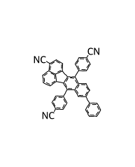 N#Cc1ccc(-c2c3c(c(-c4ccc(C#N)cc4)c4cc(-c5ccccc5)ccc24)-c2cccc4c(C#N)ccc-3c24)cc1